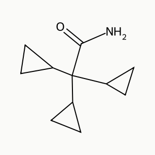 NC(=O)C(C1CC1)(C1CC1)C1CC1